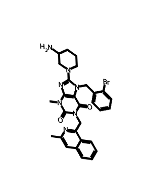 Cc1cc2ccccc2c(Cn2c(=O)c3c(nc(N4CCCC(N)C4)n3Cc3ccccc3Br)n(C)c2=O)n1